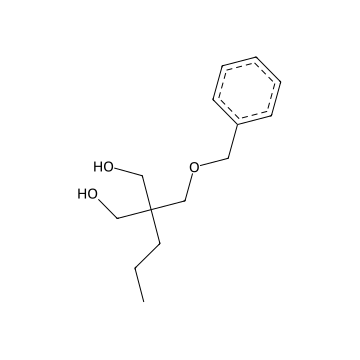 CCCC(CO)(CO)COCc1ccccc1